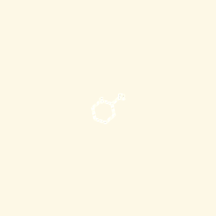 CCC1CCCCS1